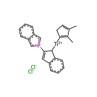 CC1=CC[C]([Ti+2][CH]2C(p3cc4ccccc4c3)=Cc3ccccc32)=C1C.[Cl-].[Cl-]